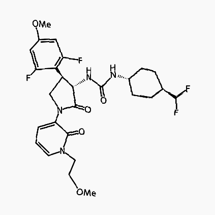 COCCn1cccc(N2C[C@@H](c3c(F)cc(OC)cc3F)[C@H](NC(=O)N[C@H]3CC[C@H](C(F)F)CC3)C2=O)c1=O